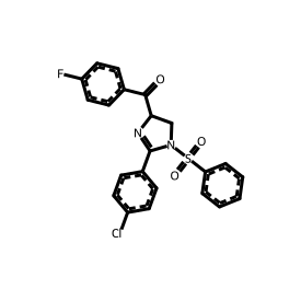 O=C(c1ccc(F)cc1)C1CN(S(=O)(=O)c2ccccc2)C(c2ccc(Cl)cc2)=N1